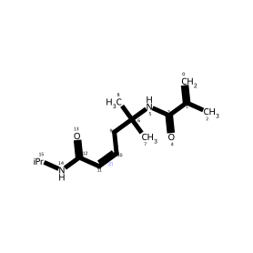 C=C(C)C(=O)NC(C)(C)C/C=C\C(=O)NC(C)C